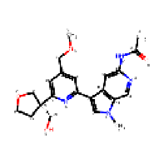 COCc1cc(-c2cn(C)c3cnc(NC(C)=O)cc23)nc([C@@]2(CO)CCOC2)c1